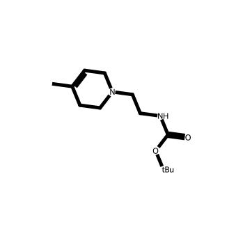 CC1=CCN(CCNC(=O)OC(C)(C)C)CC1